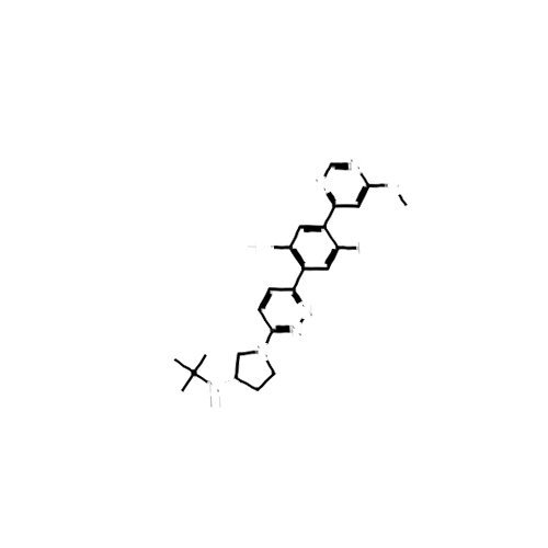 COc1cc(-c2cc(O)c(-c3ccc(N4CC[C@H](NC(C)(C)C)C4)nn3)cc2F)ncn1